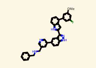 COc1cc(F)cc(-c2cccc3[nH]c(-c4n[nH]c5ccc(-c6cncc(CNCc7ccccc7)c6)cc45)cc23)c1